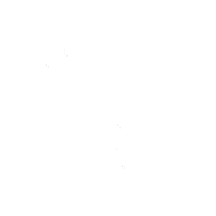 C/C(O)=C(/C(=N)c1ccc(F)cc1)C(=O)N1CCC(c2ccc(S(=O)(=O)Nc3nccs3)cc2)CC1